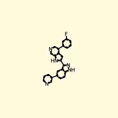 Fc1cccc(-c2cncc3[nH]c(-c4n[nH]c5ccc(-c6cccnc6)cc45)cc23)c1